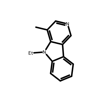 CCn1c2ccccc2c2cncc(C)c21